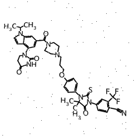 CC(C)n1ccc2c(N3CCC(=O)NC3=O)cc(C(=O)N3CCN(CCCOc4ccc(N5C(=S)N(c6ccc(C#N)c(C(F)(F)F)c6)C(=O)C5(C)C)cc4)CC3)cc21